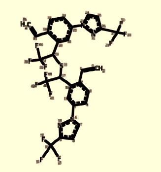 C=Cc1ccc(-n2ccc(C(F)(F)F)n2)cc1C(SC(c1cc(-n2ccc(C(F)(F)F)n2)ccc1C=C)C(F)(F)F)C(F)(F)F